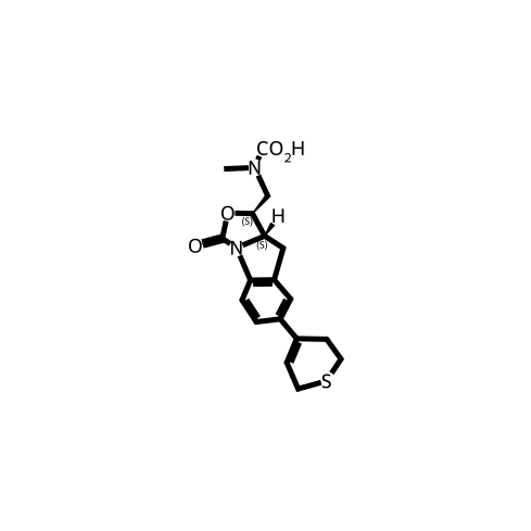 CN(C[C@@H]1OC(=O)N2c3ccc(C4=CCSCC4)cc3C[C@@H]12)C(=O)O